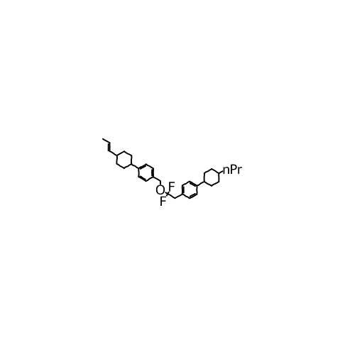 CC=CC1CCC(c2ccc(COC(F)(F)Cc3ccc(C4CCC(CCC)CC4)cc3)cc2)CC1